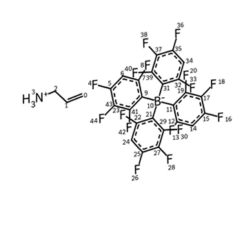 C=CC[NH3+].Fc1cc(F)c([B-](c2c(F)cc(F)c(F)c2F)(c2c(F)cc(F)c(F)c2F)c2c(F)cc(F)c(F)c2F)c(F)c1F